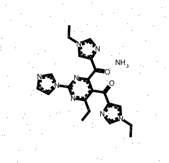 CCc1nc(-n2ccnc2)nc(C(=O)c2cn(CC)cn2)c1C(=O)c1cn(CC)cn1.N